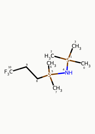 CS(C)(C)NS(C)(C)CCC(F)(F)F